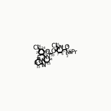 CC(C)N(C)C(=O)c1ccc(OCC(=O)N2CCc3nc4n(c3C2c2ccc(Cl)cc2F)CCCC4)c(Cl)n1